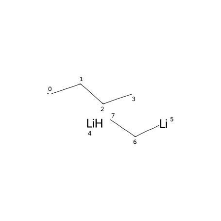 [CH2]CCC.[LiH].[Li][CH2]C